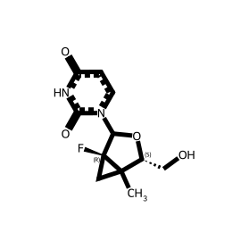 CC12C[C@]1(F)C(n1ccc(=O)[nH]c1=O)O[C@@H]2CO